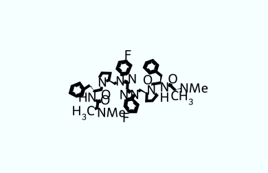 CN[C@H](C)C(=O)N[C@H](Cc1ccccc1)C(=O)N1CCC[C@H]1Cn1c(-c2nc3cc(F)ccc3n2C[C@@H]2CCCN2C(=O)[C@@H](Cc2ccccc2)NC(=O)[C@@H](C)NC)nc2cc(F)ccc21